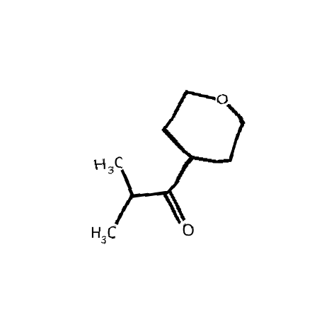 CC(C)C(=O)C1CCOCC1